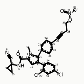 Cn1c(C(=O)NC2(C#N)CC2)cc(-c2ccc(Cl)cc2Cl)c1-c1ccc(C#CCCO[N+](=O)[O-])cc1